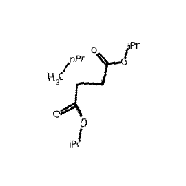 CC(C)OC(=O)CCC(=O)OC(C)C.CCCC